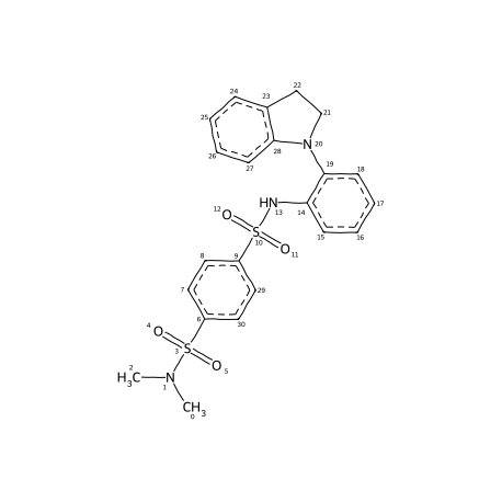 CN(C)S(=O)(=O)c1ccc(S(=O)(=O)Nc2ccccc2N2CCc3ccccc32)cc1